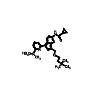 CN(C(=O)O)c1cccc(-c2cn(COCC[Si](C)(C)C)c3nc(NC(=O)C4CC4)ccc23)n1